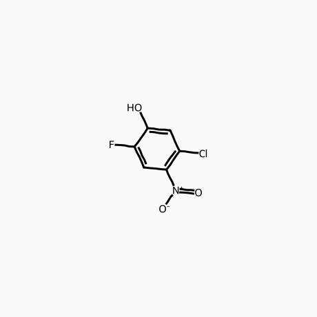 O=[N+]([O-])c1cc(F)c(O)cc1Cl